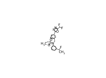 CCS(=O)(=O)N(Cc1ncc(-c2nnc(C(F)F)o2)s1)c1cccc(C(C)F)c1